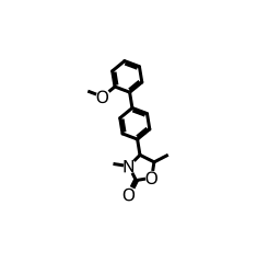 COc1ccccc1-c1ccc(C2C(C)OC(=O)N2C)cc1